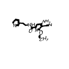 CCOc1nc(C(=O)NCCc2cccnc2)cc(N)c1C#N